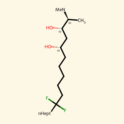 CCCCCCCC(F)(F)CCCCC[C@H](O)C[C@H](O)[C@H](C)NC